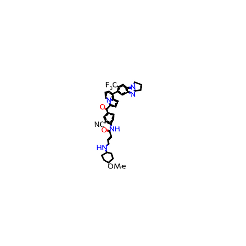 COC1CCC(NC/C=C/C(=O)Nc2ccc(C(=O)c3ccc4c(-c5cc6nc7n(c6cc5C(F)(F)F)CCC7)cccn34)cc2C#N)CC1